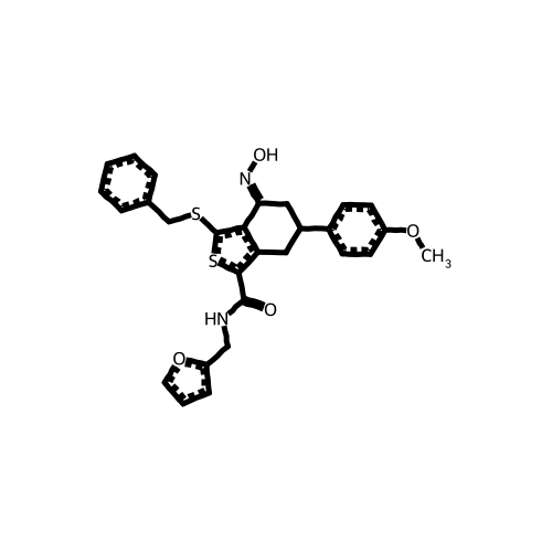 COc1ccc(C2C/C(=N\O)c3c(SCc4ccccc4)sc(C(=O)NCc4ccco4)c3C2)cc1